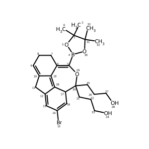 CC1(C)OB(C2=C3CCC=C4CC5=CC(Br)=CC(C5=C43)C(CCCO)(CCCO)O2)OC1(C)C